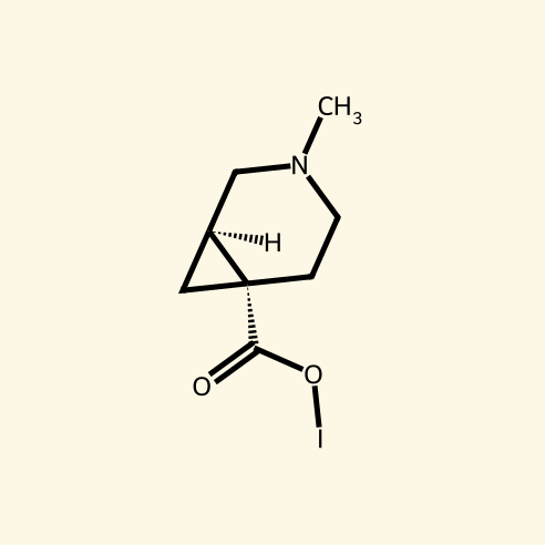 CN1CC[C@@]2(C(=O)OI)C[C@H]2C1